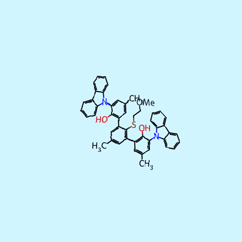 COCCSc1c(-c2cc(C)cc(-n3c4ccccc4c4ccccc43)c2O)cc(C)cc1-c1cc(C)cc(-n2c3ccccc3c3ccccc32)c1O